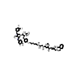 O=C(O)NC(Cc1ccc(OCCCCCCNC(=O)CNc2cc(C(=O)NC[C@H](O)CN3CCc4ccccc4C3)ncn2)cc1)C(=O)N1C/C(=C\c2ccc(Cl)c(Cl)c2)C(=O)/C(=C/c2ccc(Cl)c(Cl)c2)C1